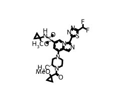 COC1(C(=O)N2CCN(c3cc(S(=O)(=O)NC4(C)CC4)cn4c(-c5nnc(C(F)F)s5)ncc34)C[C@H]2C)CC1